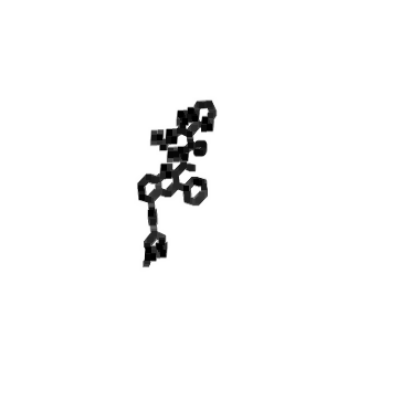 C[C@H](NC(=O)c1c(N)nn2cccnc12)c1nc2cccc(C#Cc3cnn(C)c3)c2cc1-c1ccccc1